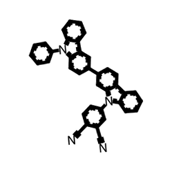 N#Cc1ccc(-n2c3ccccc3c3ccc(-c4ccc5c(c4)c4ccccc4n5-c4ccccc4)cc32)cc1C#N